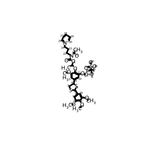 COc1cc(C2SCC(c3cc(OC)c(OC(C)OC(=O)N(CCC[n+]4ccccc4)C(C)=O)c(OC)c3)S2)cc(OC)c1OC.O=S(=O)([O-])C(F)(F)F